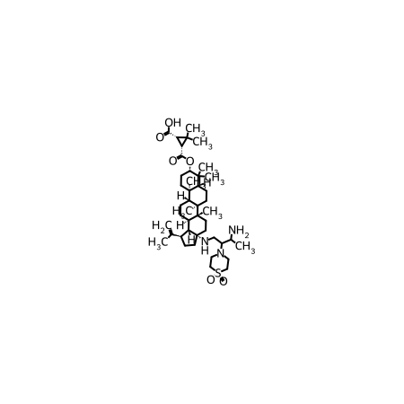 C=C(C)[C@@H]1CC[C@]2(NCC(C(C)N)N3CCS(=O)(=O)CC3)CC[C@]3(C)[C@H](CC[C@@H]4[C@@]5(C)CC[C@H](OC(=O)[C@@H]6[C@H](C(=O)O)C6(C)C)C(C)(C)[C@@H]5CC[C@]43C)[C@@H]12